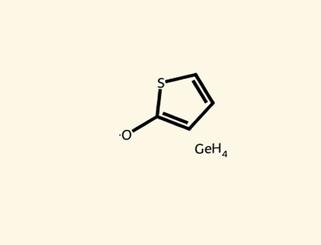 [GeH4].[O]c1cccs1